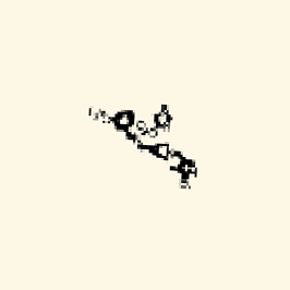 CCn1ncc(CN2CC3C(C2)C3CN(Cc2cccc(OC(F)(F)F)c2)C(=O)Oc2cn(C)cn2)c1C